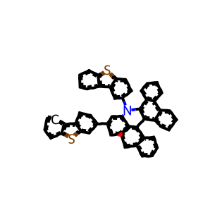 c1cc(-c2ccc3c(c2)sc2ccccc23)cc(N(c2ccc3sc4ccccc4c3c2)c2c(-c3cccc4ccccc34)c3ccccc3c3ccccc23)c1